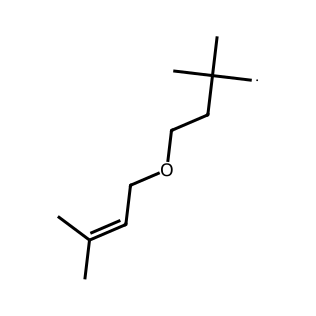 [CH2]C(C)(C)CCOCC=C(C)C